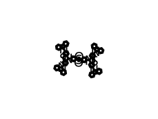 O=S(=O)(c1ccc(N2c3ccc(-n4c5ccccc5c5ccccc54)cc3Sc3cc(-n4c5ccccc5c5ccccc54)ccc32)cc1)c1ccc(N2c3ccc(-n4c5ccccc5c5ccccc54)cc3Sc3cc(-n4c5ccccc5c5ccccc54)ccc32)cc1